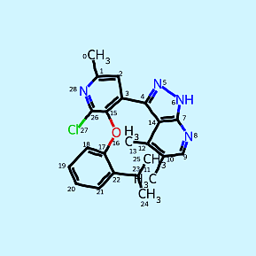 Cc1cc(-c2n[nH]c3ncc(C)c(C)c23)c(Oc2ccccc2C(C)C)c(Cl)n1